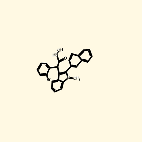 Cn1c(-c2ccc3ccccc3c2)c(C(C(=O)NO)c2ccccc2Br)c2ccccc21